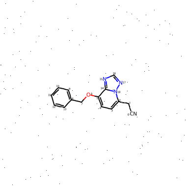 N#CCc1ccc(OCc2ccccc2)c2ncnn12